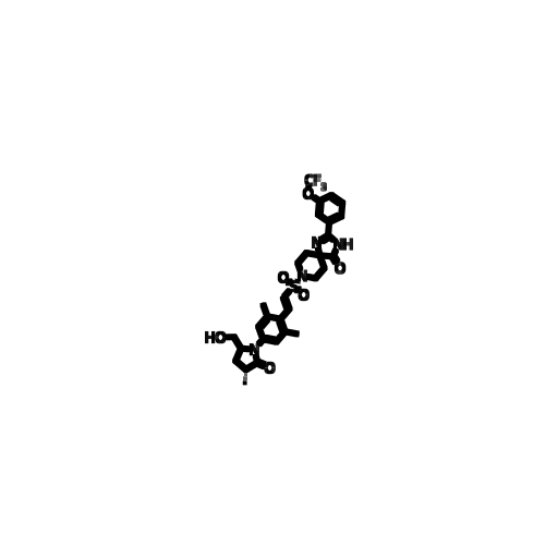 Cc1cc(N2C(=O)[C@H](C)CC2CO)cc(C)c1C=CS(=O)(=O)N1CCC2(CC1)N=C(c1cccc(OC(F)(F)F)c1)NC2=O